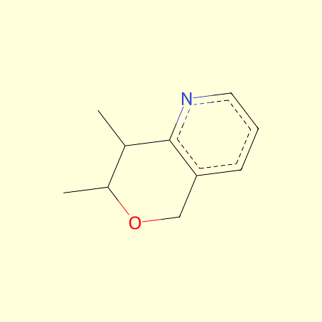 CC1OCc2cccnc2C1C